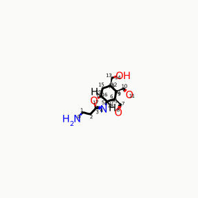 NCCC1=N[C@@H]2[C@H](C=O)[C@H](C=O)[C@H](CO)C[C@@H]2O1